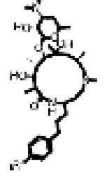 CC1C[C@H](N(C)C)[C@@H](O)C(O[C@@H]2[C@@H](C)[C@H](O)C(C)C(=O)NC(CCCc3ccc(C(C)C)cc3)CCN(C)C[C@H](C)CC2(C)O)O1